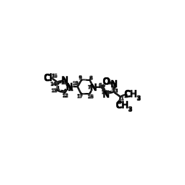 CC(C)c1noc(N2CCC(n3ccc(Cl)n3)CC2)n1